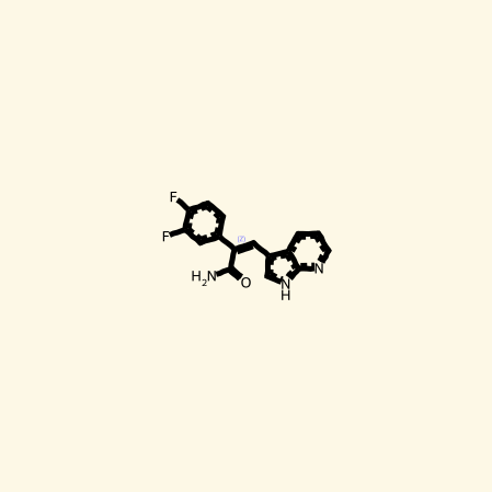 NC(=O)/C(=C\c1c[nH]c2ncccc12)c1ccc(F)c(F)c1